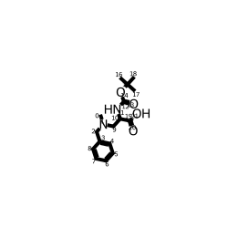 CN(Cc1ccccc1)CC(NC(=O)OC(C)(C)C)C(=O)O